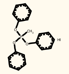 C[P](Oc1ccccc1)(Oc1ccccc1)Oc1ccccc1.I